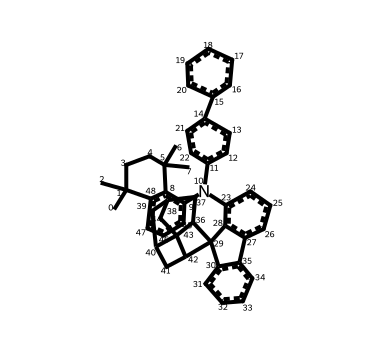 CC1(C)CCC(C)(C)c2c(N(c3ccc(-c4ccccc4)cc3)c3cccc4c3C3(c5ccccc5-4)C4CC5CC6CC3C64C5)cccc21